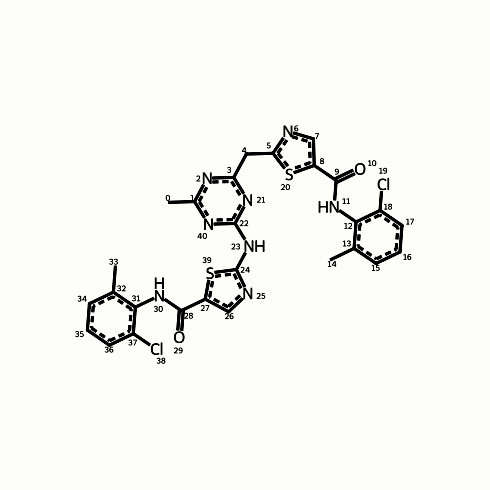 Cc1nc(Cc2ncc(C(=O)Nc3c(C)cccc3Cl)s2)nc(Nc2ncc(C(=O)Nc3c(C)cccc3Cl)s2)n1